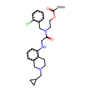 CNC(=O)OCCN(Cc1ccccc1Cl)C(=O)CNc1cccc2c1CCN(CC1CC1)C2